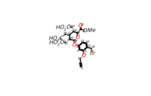 C#CCOc1cc(O[C@@H]2O[C@H](C(=O)OC)[C@@H](CC(=O)O)[C@H](CC(=O)O)[C@H]2CC(=O)O)ccc1CBr